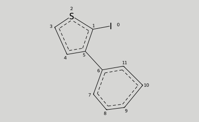 Ic1sccc1-c1ccccc1